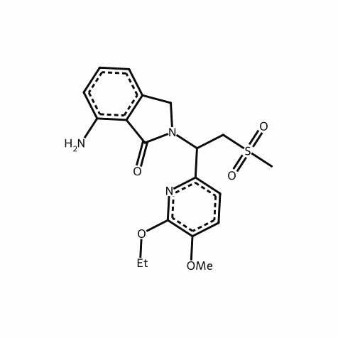 CCOc1nc(C(CS(C)(=O)=O)N2Cc3cccc(N)c3C2=O)ccc1OC